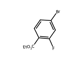 CCOC(=O)c1ccc(Br)cc1F